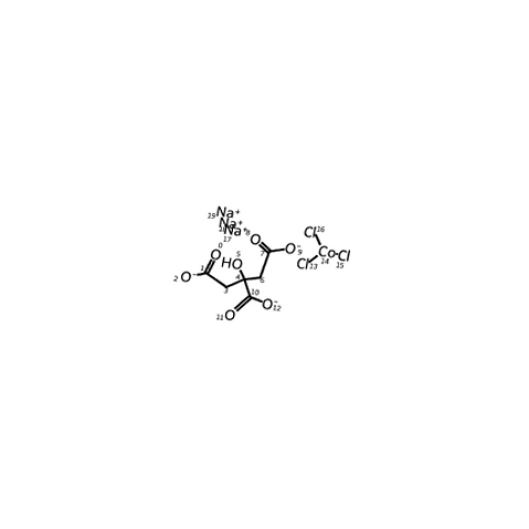 O=C([O-])CC(O)(CC(=O)[O-])C(=O)[O-].[Cl][Co]([Cl])[Cl].[Na+].[Na+].[Na+]